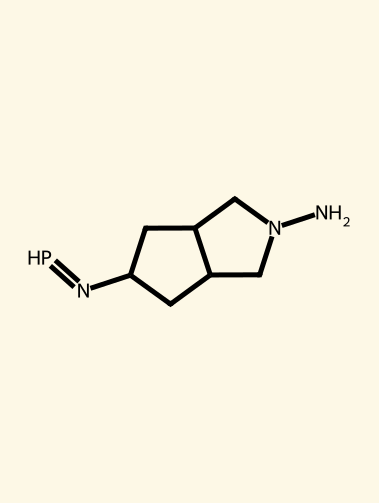 NN1CC2CC(N=P)CC2C1